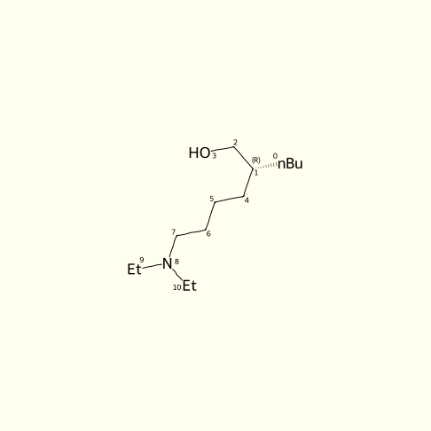 CCCC[C@@H](CO)CCCCN(CC)CC